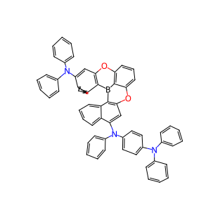 c1ccc(N(c2ccccc2)c2ccc(N(c3ccccc3)c3cc4c(c5ccccc35)B3c5c(cccc5O4)Oc4cc(N(c5ccccc5)c5ccccc5)c5ccccc5c43)cc2)cc1